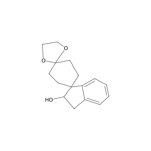 OC1Cc2ccccc2C12CCC1(CC2)OCCO1